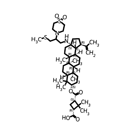 C=C(C)[C@@H]1CC[C@]2(NCC(CSC)N3CCS(=O)(=O)CC3)CC[C@]3(C)[C@H](CC[C@@H]4[C@@]5(C)CC[C@H](OC(=O)[C@H]6C[C@@H](C(=O)O)C6(C)C)C(C)(C)[C@@H]5CC[C@]43C)[C@@H]12